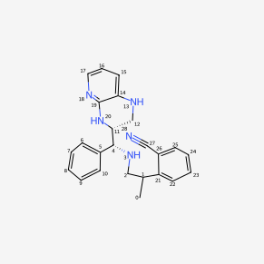 CC(CN[C@H](c1ccccc1)[C@H]1CNc2cccnc2N1)c1ccccc1C#N